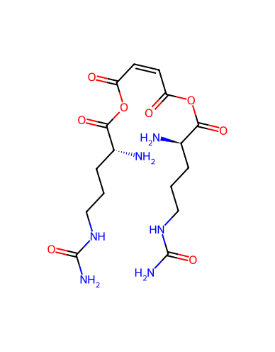 NC(=O)NCCC[C@@H](N)C(=O)OC(=O)/C=C\C(=O)OC(=O)[C@H](N)CCCNC(N)=O